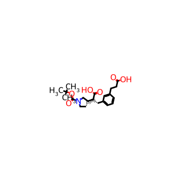 CC(C)(C)OC(=O)N1CC[C@@H]([C@@H](Cc2cccc(CCC(=O)O)c2)C(=O)O)C1